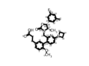 COc1ccc(CCC(=O)O)cc1-c1ccc(N2CCC2)nc1CN1C(=O)O[C@H](c2cc(F)cc(F)c2)[C@@H]1C